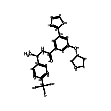 C[C@@H](NC(=O)c1cc(O[C@@H]2CCOC2)cc(-c2nccs2)c1)c1cnc(C(F)(F)F)nc1